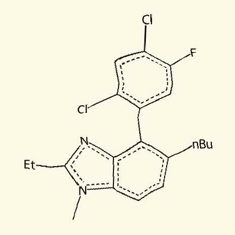 CCCCc1ccc2c(nc(CC)n2C)c1-c1cc(F)c(Cl)cc1Cl